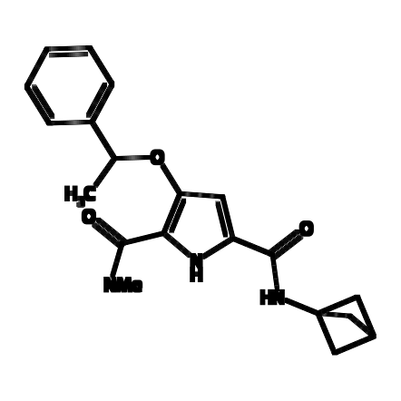 CNC(=O)c1[nH]c(C(=O)NC23CC(C2)C3)cc1OC(C)c1ccccc1